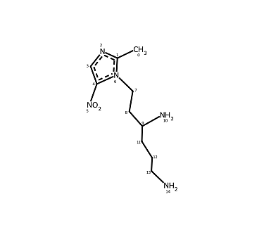 Cc1ncc([N+](=O)[O-])n1CCC(N)CCCN